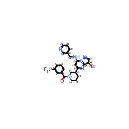 O=C(c1cccc(C(F)(F)F)c1)N1CCCC(c2cc(NCc3cccnc3)n3ncc(Br)c3n2)C1